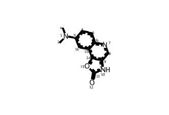 CN(C)c1ccc2ncc3[nH]c(=O)oc3c2c1